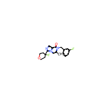 Cc1cn2c(C3(F)CCOCC3)ncc2c(=O)n1Cc1cccc(F)c1